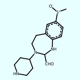 C[S+]([O-])c1ccc2c(c1)CCN(C1CCNCC1)C(C=O)N2